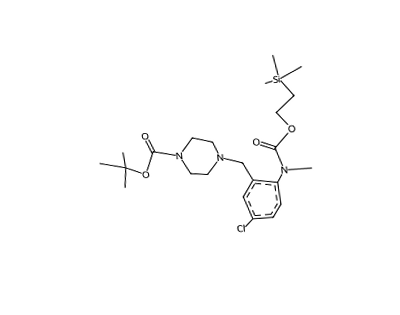 CN(C(=O)OCC[Si](C)(C)C)c1ccc(Cl)cc1CN1CCN(C(=O)OC(C)(C)C)CC1